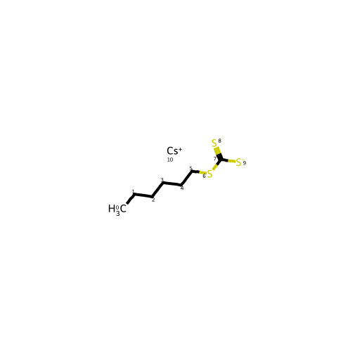 CCCCCCSC(=S)[S-].[Cs+]